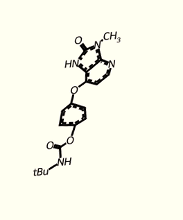 Cn1c(=O)[nH]c2c(Oc3ccc(OC(=O)NC(C)(C)C)cc3)ccnc21